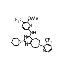 COc1nc(Nc2nc(N3CCCCC3)nc3c2CCN(c2ncccc2C(F)(F)F)CC3)ccc1C(F)(F)F